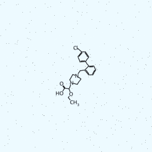 CCOC(C(=O)O)N1CCN(Cc2ccccc2-c2ccc(Cl)cc2)CC1